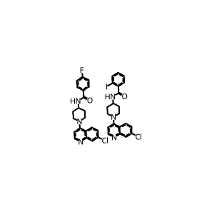 O=C(NC1CCN(c2ccnc3cc(Cl)ccc23)CC1)c1ccc(F)cc1.O=C(NC1CCN(c2ccnc3cc(Cl)ccc23)CC1)c1ccccc1I